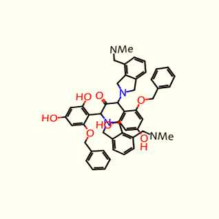 CNCc1cccc2c1CN(C(C(=O)C(c1c(O)cc(O)cc1OCc1ccccc1)N1Cc3cccc(CNC)c3C1)c1c(O)cc(O)cc1OCc1ccccc1)C2